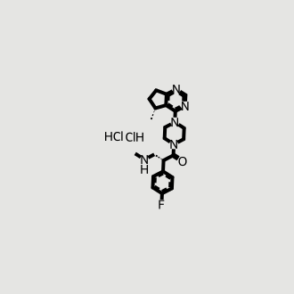 CNC[C@H](C(=O)N1CCN(c2ncnc3c2[C@H](C)CC3)CC1)c1ccc(F)cc1.Cl.Cl